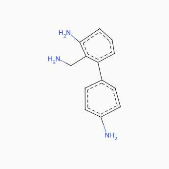 NCc1c(N)cccc1-c1ccc(N)cc1